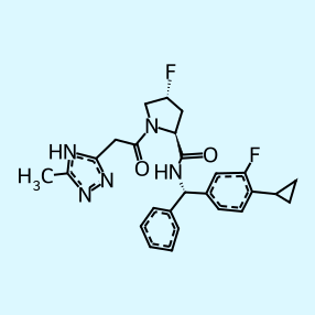 Cc1nnc(CC(=O)N2C[C@H](F)C[C@H]2C(=O)N[C@@H](c2ccccc2)c2ccc(C3CC3)c(F)c2)[nH]1